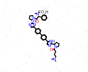 CN(C)CCCC(=O)N1CCCC1c1ncc(-c2ccc(-c3ccc(-c4cnc([C@@H]5CCCN5C(=O)[C@@H](c5ccccc5)N(C)C(=O)O)[nH]4)cc3)cc2)[nH]1